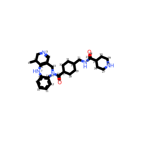 CC1CN=CC2=C1Nc1ccccc1N(C(=O)C1CCC(CNC(=O)C3CCNCC3)CC1)C2